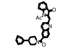 CC(=O)N1/C(=C\c2ccc3cc(C(=O)N4CCC(c5ccccc5)CC4)ccc3n2)C(=O)c2ccccc21